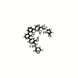 COc1nc(-c2cccc(-c3cccc(-c4cnc(CNC5CCOC5)c(OC)n4)c3Cl)c2Cl)cnc1CNC[C@@H]1CCC(=O)N1